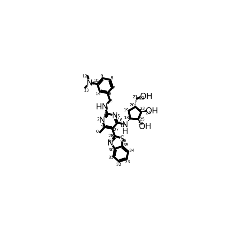 Cc1nc(NCc2cccc(N(C)C)c2)nc(N[C@@H]2C[C@H](CO)[C@@H](O)[C@H]2O)c1-c1nc2ccccc2s1